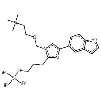 CC(C)[Si](OCCCc1nc(-c2ccc3occc3c2)cn1COCC[Si](C)(C)C)(C(C)C)C(C)C